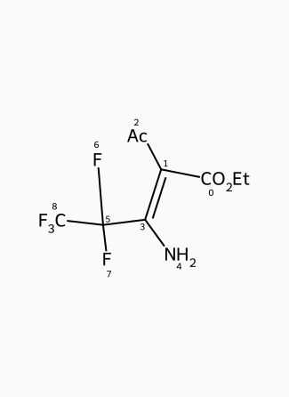 CCOC(=O)C(C(C)=O)=C(N)C(F)(F)C(F)(F)F